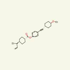 C=CC(CC)[C@H]1CC[C@H](C(=O)Oc2ccc(C#C[C@H]3CC[C@H](OCC)CC3)cc2)CC1